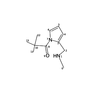 CNCc1cccn1C(=O)C(C)(C)C